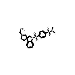 CN(C)S(=O)(=O)c1ccc(S(=O)(=O)N2CC3(CCN(CC(F)(F)F)C3)c3ccccc32)cc1